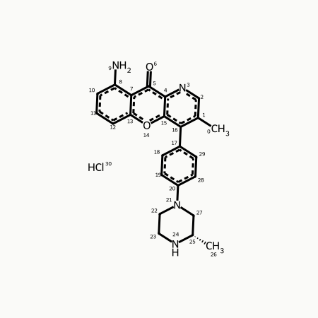 Cc1cnc2c(=O)c3c(N)cccc3oc2c1-c1ccc(N2CCN[C@@H](C)C2)cc1.Cl